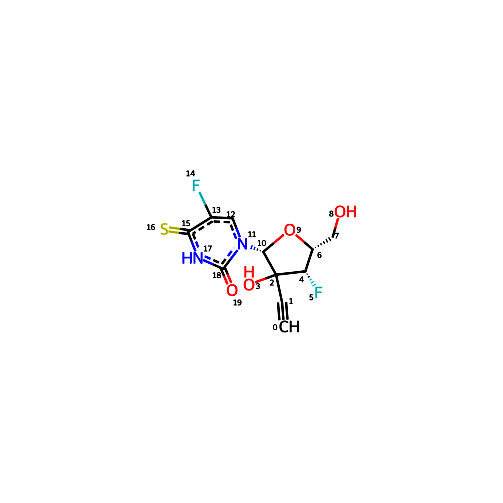 C#CC1(O)[C@@H](F)[C@@H](CO)O[C@H]1n1cc(F)c(=S)[nH]c1=O